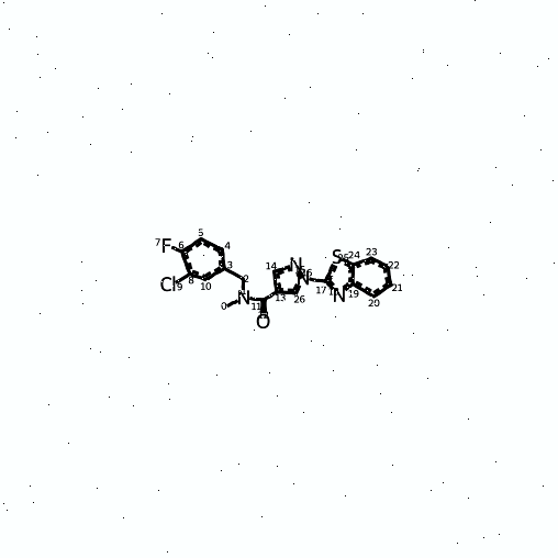 CN(Cc1ccc(F)c(Cl)c1)C(=O)c1cnn(-c2nc3ccccc3s2)c1